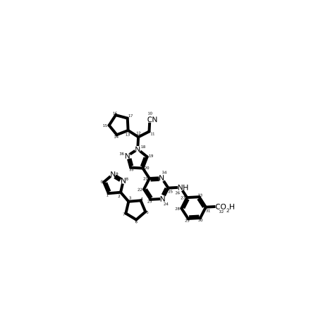 C1=CC(C2CCCC2)N=N1.N#CCC(C1CCCC1)n1cc(-c2ccnc(Nc3cccc(C(=O)O)c3)n2)cn1